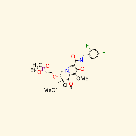 CCOP(C)(=O)CCOC1Cn2cc(C(=O)NCc3ccc(F)cc3F)c(=O)c(OC)c2C(=O)C1(C)CCOC